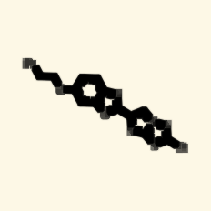 CCc1nn2cc(-c3nc4ccc(OCCC(C)C)cc4o3)nc2s1